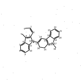 C/C=C\c1c(C)c2ccccc2n1C1=Cc2c(n(C)c3ccccc23)CC1